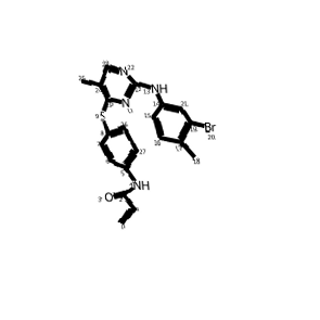 C=CC(=O)Nc1ccc(Sc2nc(Nc3ccc(C)c(Br)c3)ncc2C)cc1